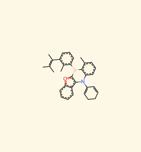 CC(C)=C(C)c1cccc(B2c3oc4ccccc4c3N(C3=CCCC=C3)c3cccc(C)c32)c1C